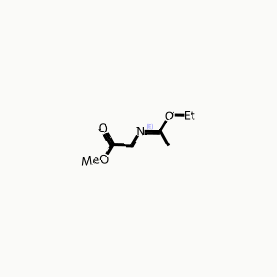 CCO/C(C)=N/CC(=O)OC